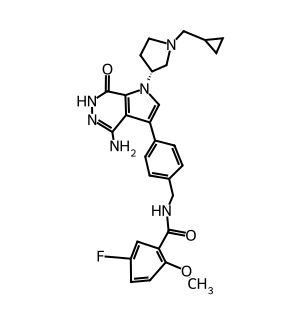 COc1ccc(F)cc1C(=O)NCc1ccc(-c2cn([C@@H]3CCN(CC4CC4)C3)c3c(=O)[nH]nc(N)c23)cc1